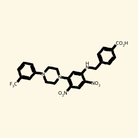 O=C(O)c1ccc(CNc2cc(N3CCN(c4cccc(C(F)(F)F)c4)CC3)c([N+](=O)[O-])cc2[N+](=O)[O-])cc1